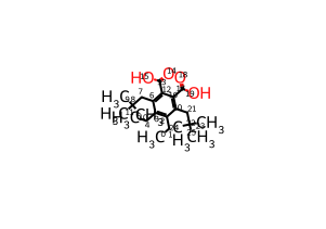 CCc1c(CC)c(CC(C)(C)C)c(C(=O)O)c(C(=O)O)c1CC(C)(C)C